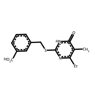 CCc1nc(SCc2cccc(C(=O)O)c2)[nH]c(=O)c1C